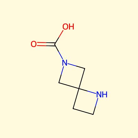 O=C(O)N1CC2(CCN2)C1